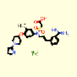 Cc1cc(N(C/C=C/c2cccc(C(=N)N)c2)S(=O)(=O)CC(=O)O)ccc1OC1CCN(C2=NCCC2)CC1.Cl.Cl